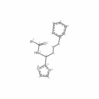 CC(C)C(=O)NC(CCCc1ccccc1)c1ncco1